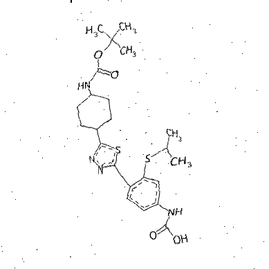 CC(C)Sc1cc(NC(=O)O)ccc1-c1nnc(C2CCC(NC(=O)OC(C)(C)C)CC2)s1